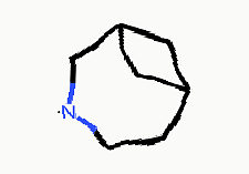 C1CC2CC(C[N]1)C2